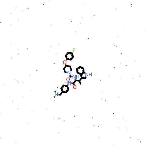 CC(c1c[nH]c2ccccc12)C(NC(=O)N1CCC(Oc2ccc(F)cc2)CC1)C(=O)Nc1ccc(CN(C)C)cc1